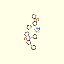 c1ccc(-c2ccc3c(c2)N(c2cccc(-c4nc(-c5ccc6c(c5)oc5ccccc56)ns4)c2)c2cc(-c4ccccc4)ccc2O3)cc1